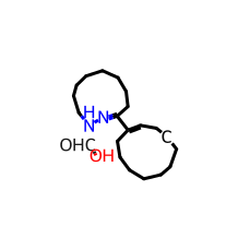 C1=C(/C2=N\NCCCCCCCC2)CCCCCCCCC/1.O=CO